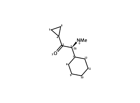 CN[C@H](C(=O)C1CC1)C1CCCCC1